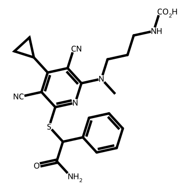 CN(CCCNC(=O)O)c1nc(SC(C(N)=O)c2ccccc2)c(C#N)c(C2CC2)c1C#N